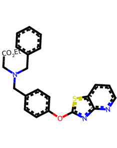 CCOC(=O)CN(Cc1ccccc1)Cc1ccc(Oc2nc3ncccc3s2)cc1